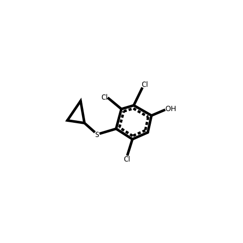 Oc1cc(Cl)c(SC2CC2)c(Cl)c1Cl